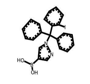 OB(O)c1cnn(C(c2ccccc2)(c2ccccc2)c2ccccc2I)c1